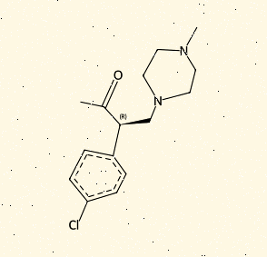 CC(=O)[C@@H](CN1CCN(C)CC1)c1ccc(Cl)cc1